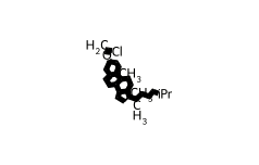 C=C(Cl)OC1CC[C@@]2(C)C(=CCC3C2CC[C@@]2(C)C3CC[C@@H]2[C@H](C)CCCC(C)C)C1